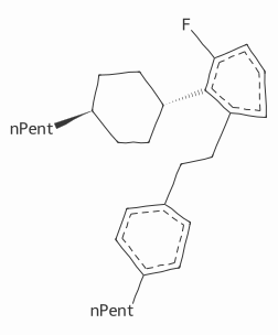 CCCCCc1ccc(CCc2cccc(F)c2[C@H]2CC[C@H](CCCCC)CC2)cc1